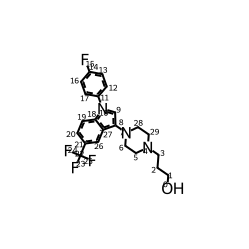 OCCCN1CCN(c2cn(-c3ccc(F)cc3)c3ccc(C(F)(F)F)cc23)CC1